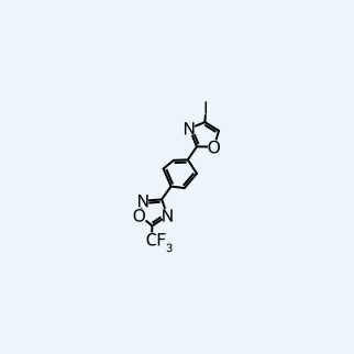 FC(F)(F)c1nc(-c2ccc(-c3nc(I)co3)cc2)no1